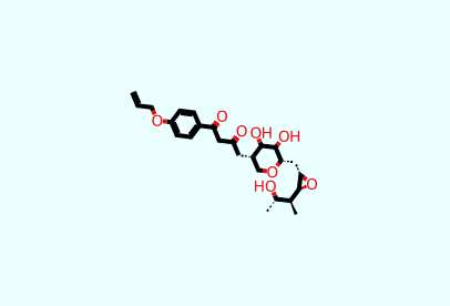 C=CCOc1ccc(C(=O)CC(=O)C[C@H]2CO[C@@H](C[C@@H]3O[C@H]3[C@@H](C)[C@H](C)O)C(O)C2O)cc1